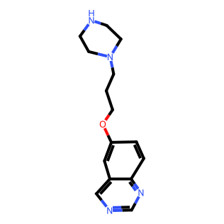 c1ncc2cc(OCCCN3CCNCC3)ccc2n1